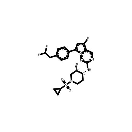 O=S(=O)(C1CC1)N1CC[C@@H](Nc2ncc3c(F)cc(-c4ccc(CC(F)F)cc4)n3n2)[C@H](O)C1